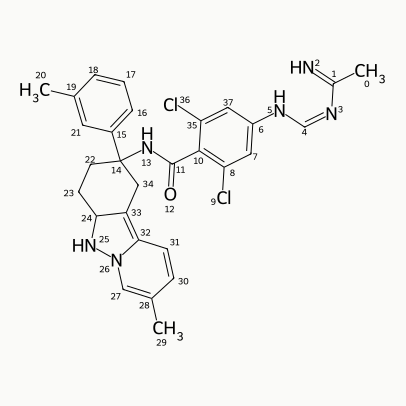 CC(=N)/N=C\Nc1cc(Cl)c(C(=O)NC2(c3cccc(C)c3)CCC3NN4C=C(C)C=CC4=C3C2)c(Cl)c1